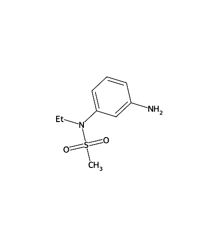 CCN(c1cccc(N)c1)S(C)(=O)=O